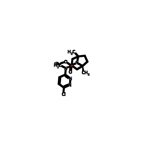 CN(c1ccc(Cl)nn1)[C@H]1CC2(C)CC[C@](C)(C1)N2C(=O)OC(C)(C)C